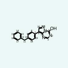 Oc1ncnc2c(-c3ccc(Cc4ccccc4)cc3)cnn12